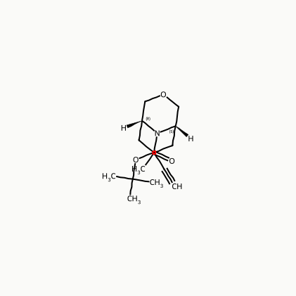 C#CC1(C)C[C@H]2COC[C@@H](C1)N2C(=O)OC(C)(C)C